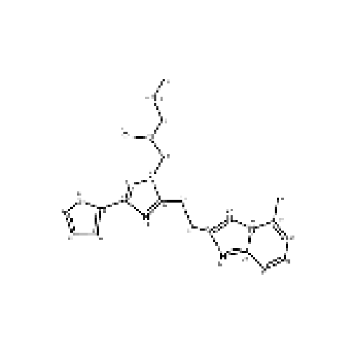 CNCC(O)Cn1cc(-c2cccs2)nc1CCc1nc2cccc(C)n2n1